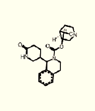 O=C1CCC(C2c3ccccc3CCN2C(=O)O[C@@H]2CN3CCC2CC3)CN1